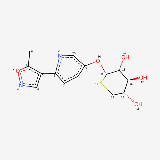 Cc1oncc1-c1ccc(O[C@H]2SC[C@@H](O)[C@H](O)[C@H]2O)cn1